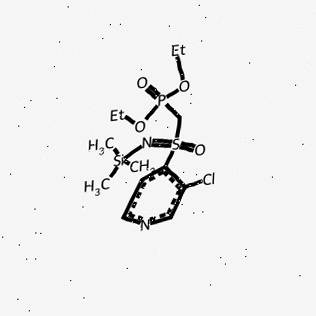 CCOP(=O)(CS(=O)(=N[Si](C)(C)C)c1ccncc1Cl)OCC